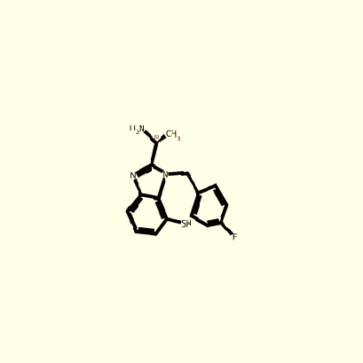 C[C@H](N)c1nc2cccc(S)c2n1Cc1ccc(F)cc1